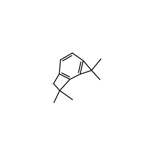 CC1(C)[C]c2ccc3c(c21)C3(C)C